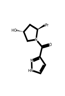 CC(C)[C@@H]1C[C@@H](O)CN1C(=O)c1cc[nH]n1